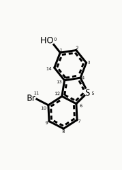 Oc1ccc2sc3cccc(Br)c3c2c1